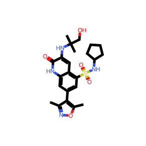 Cc1noc(C)c1-c1cc(S(=O)(=O)NC2CCCC2)c2cc(NC(C)(C)CO)c(=O)[nH]c2c1